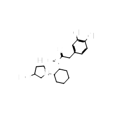 CN(C(=O)Cc1ccc(Cl)c(Cl)c1)[C@@H]1CCCC[C@H]1N1CCC(O)C1